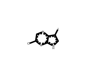 Clc1cnc2c(I)c[nH]c2n1